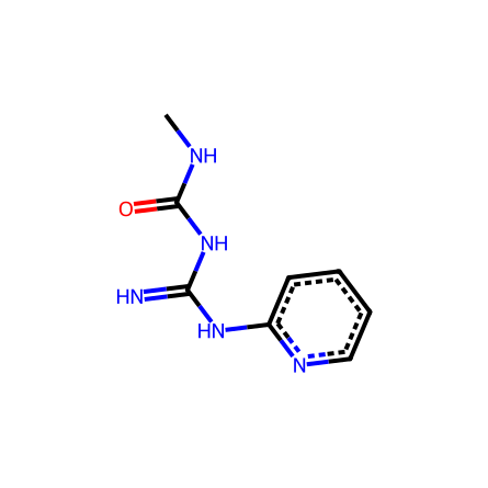 CNC(=O)NC(=N)Nc1ccccn1